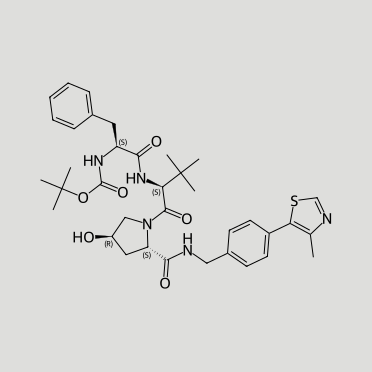 Cc1ncsc1-c1ccc(CNC(=O)[C@@H]2C[C@@H](O)CN2C(=O)[C@@H](NC(=O)[C@H](Cc2ccccc2)NC(=O)OC(C)(C)C)C(C)(C)C)cc1